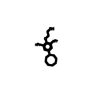 CCCc1cc(C2CCCCCCC2)cc(CCC)c1OCCO